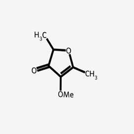 COC1=C(C)OC(C)C1=O